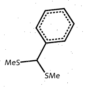 CS[C](SC)c1ccccc1